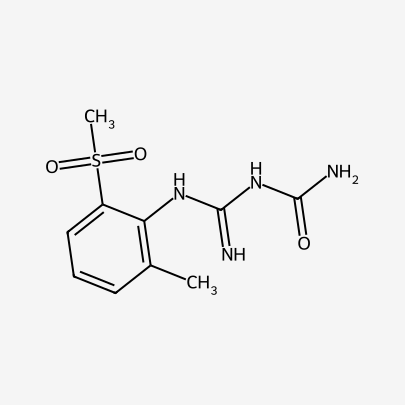 Cc1cccc(S(C)(=O)=O)c1NC(=N)NC(N)=O